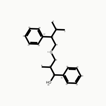 CC(C)C(COCC(C)C(O)c1ccccc1)c1ccccc1